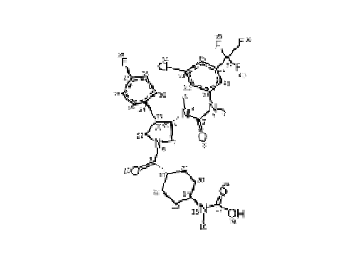 CN(C(=O)N(C)[C@@H]1CN(C(=O)[C@H]2CC[C@H](N(C)C(=O)O)CC2)C[C@H]1c1ccc(F)cc1)c1cc(Cl)cc(C(F)(F)F)c1